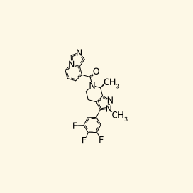 C[C@H]1c2nn(C)c(-c3cc(F)c(F)c(F)c3)c2CCN1C(=O)c1cccn2cncc12